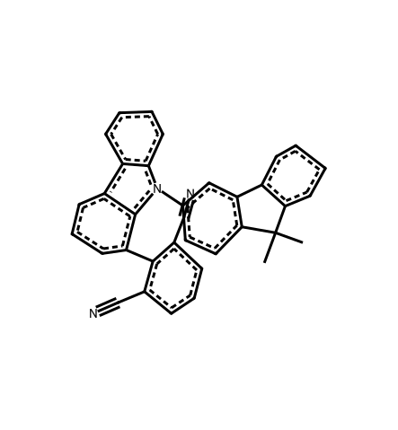 CC1(C)c2ccccc2-c2cc(-n3c4ccccc4c4cccc(-c5c(C#N)cccc5C#N)c43)ccc21